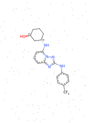 O[C@H]1CCC[C@H](Nc2cccc3nc(Nc4ccc(C(F)(F)F)cc4)nn23)C1